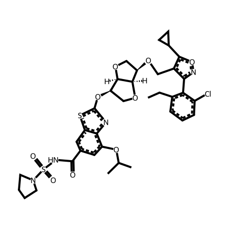 CCc1cccc(Cl)c1-c1noc(C2CC2)c1CO[C@@H]1CO[C@H]2[C@@H]1OC[C@H]2Oc1nc2c(OC(C)C)cc(C(=O)NS(=O)(=O)N3CCCC3)cc2s1